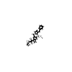 COc1nc2noc(C(=O)C(=O)Nc3nccs3)c2cc1C(=O)N1CCC(Cc2ccccc2)C1